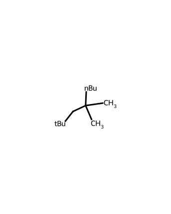 [CH2]C(C)(C)CC(C)(C)CCCC